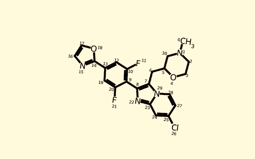 CN1CCOC(Cc2c(-c3c(F)cc(-c4ncco4)cc3F)nc3cc(Cl)ccn23)C1